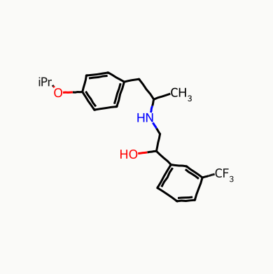 CC(Cc1ccc(OC(C)C)cc1)NCC(O)c1cccc(C(F)(F)F)c1